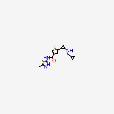 Cc1nnc(NC(=O)c2csc(C3CC3NCC3CC3)c2)s1